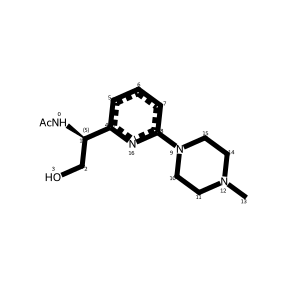 CC(=O)N[C@H](CO)c1cccc(N2CCN(C)CC2)n1